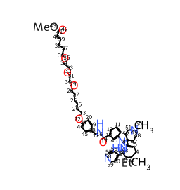 CCC1C(C)CC=C(C2(Nc3cccc(C(=O)NCc4ccc(OCCCCCCOCCOCCOCCCCCC(=O)OC)cc4)c3)CCN(C)CC2)NC1c1ccncc1